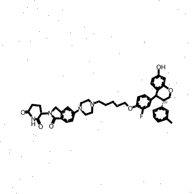 Cc1cccc([C@H]2COc3cc(O)ccc3C2c2ccc(OCCCCCN3CCN(c4ccc5c(c4)CN(C4CCC(=O)NC4=O)C5=O)CC3)c(F)c2)c1